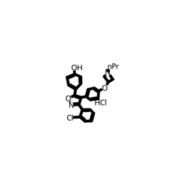 CCCN1CC(Oc2ccc(-c3c(-c4ccccc4Cl)noc3-c3ccc(O)cc3)cc2)C1.Cl